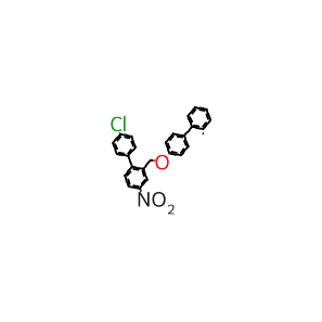 O=[N+]([O-])c1ccc(-c2ccc(Cl)cc2)c(COc2ccc(-c3[c]cccc3)cc2)c1